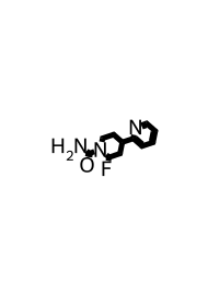 NC(=O)N1CCC(c2ccccn2)CC1F